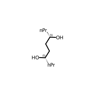 CCC[C@H](O)CC[C@@H](O)CCC